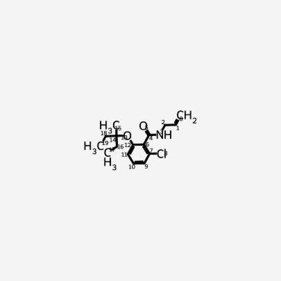 C=CCNC(=O)c1c(Cl)cccc1OC(C)(CC)CC